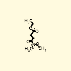 CCOC(=O)CCC(=O)N(C)OC